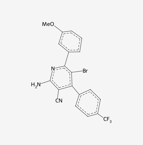 COc1cccc(-c2nc(N)c(C#N)c(-c3ccc(C(F)(F)F)cc3)c2Br)c1